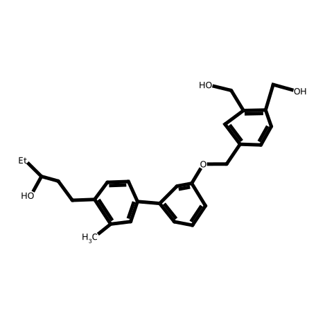 CCC(O)CCc1ccc(-c2cccc(OCc3ccc(CO)c(CO)c3)c2)cc1C